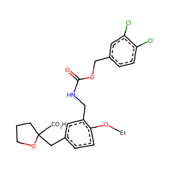 CCOc1ccc(CC2(C(=O)O)CCCO2)cc1CNC(=O)OCc1ccc(Cl)c(Cl)c1